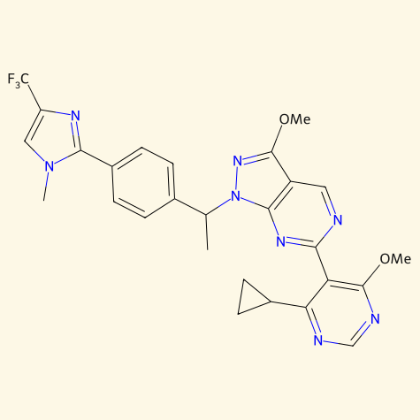 COc1ncnc(C2CC2)c1-c1ncc2c(OC)nn(C(C)c3ccc(-c4nc(C(F)(F)F)cn4C)cc3)c2n1